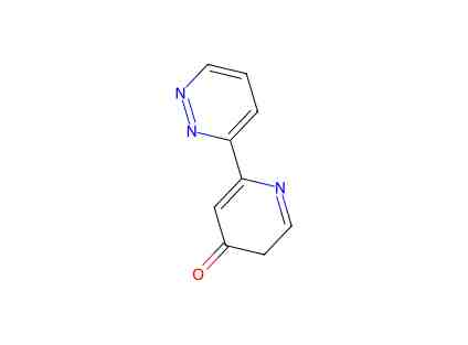 O=C1C=C(c2cccnn2)N=CC1